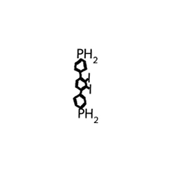 Pc1ccc(-c2ccc(-c3ccc(P)cc3)c(I)c2I)cc1